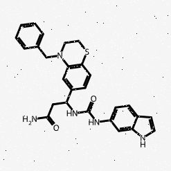 NC(=O)CC(NC(=O)Nc1ccc2cc[nH]c2c1)c1ccc2c(c1)N(Cc1ccccc1)CCS2